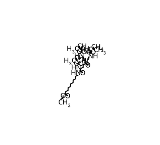 C=CCOC(=O)CCCCCCCCCCNC(=O)C(CCC(=O)N(CCNC(=O)OC(C)(C)C)CCNC(=O)OC(C)(C)C)NC(=O)OC(C)(C)C